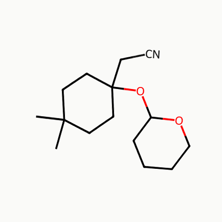 CC1(C)CCC(CC#N)(OC2CCCCO2)CC1